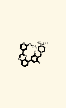 COc1cc(-c2cnc3cccc(-c4cc(F)c(CN5CCS(O)(O)CC5)c(F)c4)c3n2)ccn1